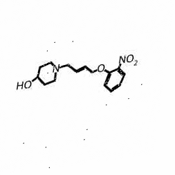 O=[N+]([O-])c1ccccc1OCC=CCN1CCC(O)CC1